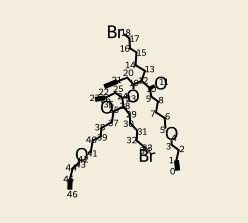 C#CCCOCCCCCC(=O)C(CCCCCBr)C(CC#C)OC(CC#C)C(CCCCCBr)C(=O)CCCCCOCCC#C